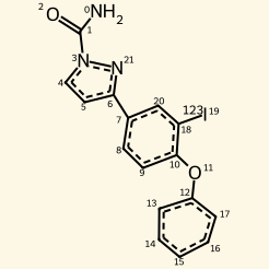 NC(=O)n1ccc(-c2ccc(Oc3ccccc3)c([123I])c2)n1